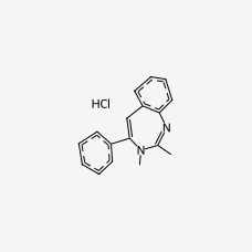 CC1=Nc2ccccc2C=C(c2ccccc2)N1C.Cl